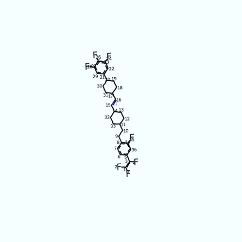 FC(F)=C(F)c1ccc(CCC2CCC(/C=C/C3CCC(c4cc(F)c(F)c(F)c4)CC3)CC2)c(F)c1